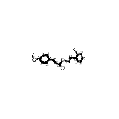 COc1ccc(/C=C/C(=O)ON=Cc2ccccc2F)cc1